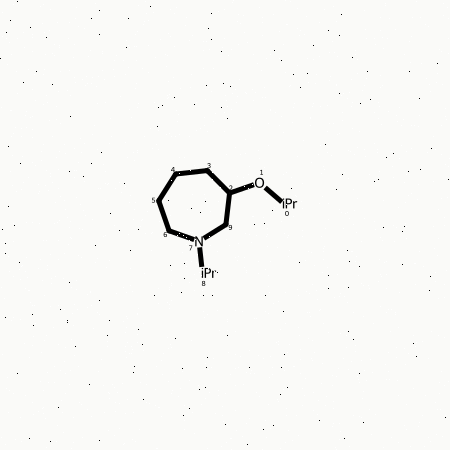 CC(C)OC1CCCCN(C(C)C)C1